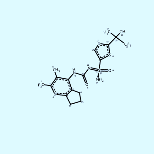 Cc1c(C(F)(F)F)nc2c(c1NC(=O)N=[S@@](N)(=O)c1cnc(C(C)(C)O)s1)CCC2